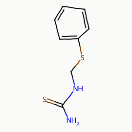 NC(=S)NCSc1ccccc1